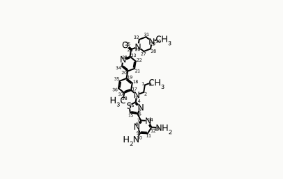 CCCN(c1nc(-c2nc(N)cc(N)n2)cs1)c1cc(-c2ccc(C(=O)N3CCN(C)CC3)nc2)ccc1C